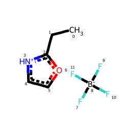 CCc1[nH+]cco1.F[B-](F)(F)F